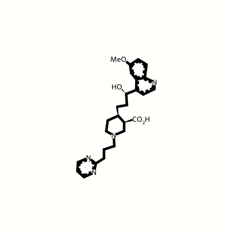 COc1ccc2nccc([C@@H](O)CC[C@@H]3CCN(CCCc4ncccn4)C[C@@H]3C(=O)O)c2c1